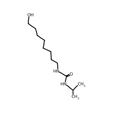 CC(C)NC(=O)NCCCCCCCCO